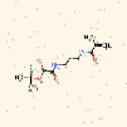 C=C(C)C(=O)NCCCNC(=O)C(=O)OC(C)(C)C